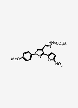 CCOC(=O)N/N=C/c1cn(-c2ccc(OC)cc2)nc1-c1ccc([N+](=O)[O-])o1